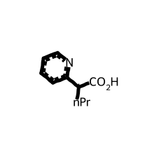 CCC[C](C(=O)O)c1ccccn1